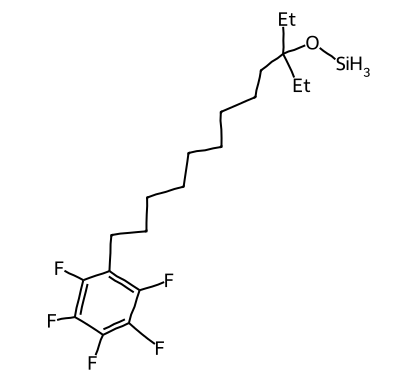 CCC(CC)(CCCCCCCCCc1c(F)c(F)c(F)c(F)c1F)O[SiH3]